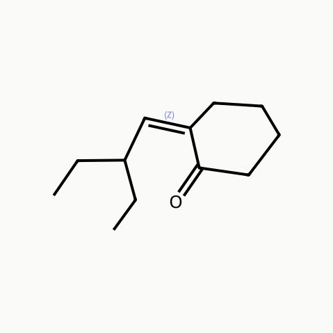 CCC(/C=C1/CCCCC1=O)CC